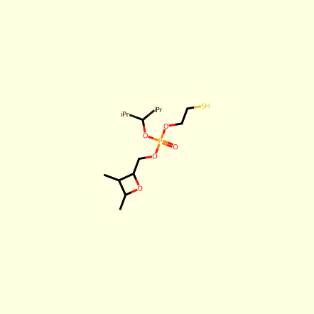 CC(C)C(OP(=O)(OCCS)OCC1OC(C)C1C)C(C)C